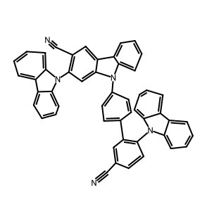 N#Cc1ccc(-n2c3ccccc3c3ccccc32)c(-c2ccc(-n3c4ccccc4c4cc(C#N)c(-n5c6ccccc6c6ccccc65)cc43)cc2)c1